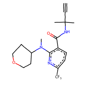 C#CC(C)(C)NC(=O)c1ccc(C(F)(F)F)nc1N(C)C1CCOCC1